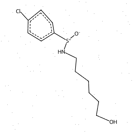 [O-][S+](NCCCCCCO)c1ccc(Cl)cc1